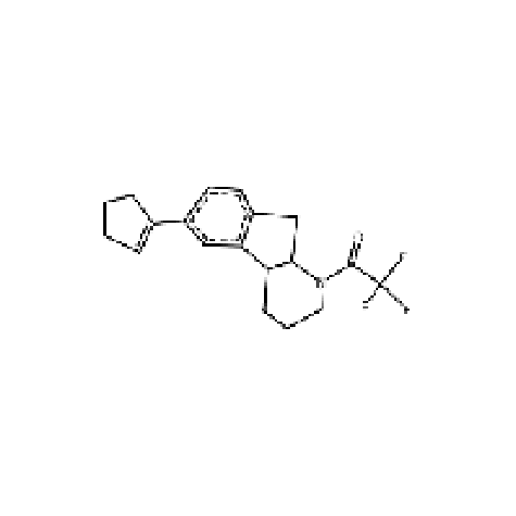 O=C(N1CCCC2c3cc(C4=CCCC4)ccc3CC21)C(F)(F)F